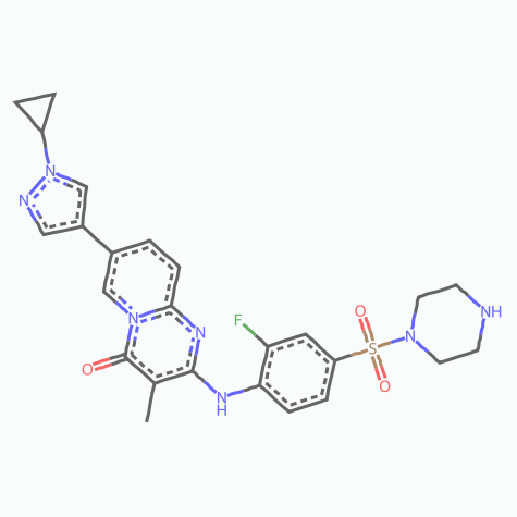 Cc1c(Nc2ccc(S(=O)(=O)N3CCNCC3)cc2F)nc2ccc(-c3cnn(C4CC4)c3)cn2c1=O